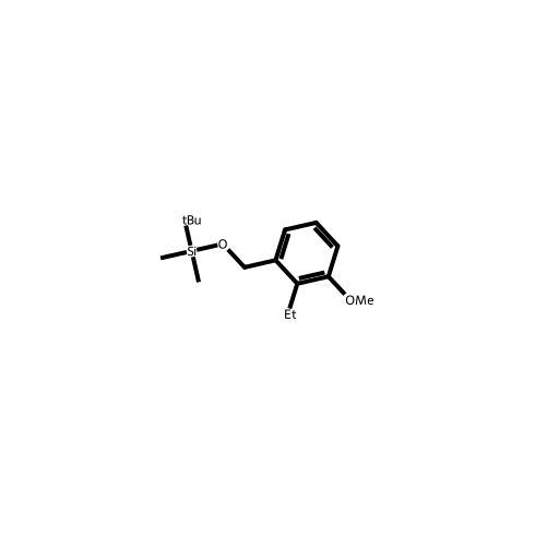 CCc1c(CO[Si](C)(C)C(C)(C)C)cccc1OC